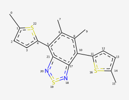 Cc1ccc(-c2c(C)c(C)c(-c3ccc(C)s3)c3nsnc23)s1